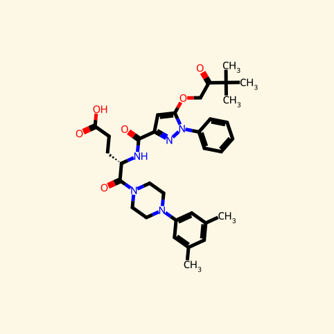 Cc1cc(C)cc(N2CCN(C(=O)[C@H](CCC(=O)O)NC(=O)c3cc(OCC(=O)C(C)(C)C)n(-c4ccccc4)n3)CC2)c1